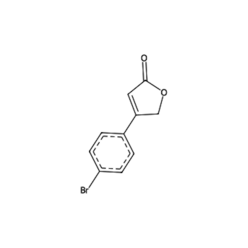 O=C1C=C(c2ccc(Br)cc2)CO1